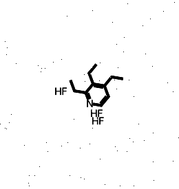 CCc1ccnc(CC)c1CC.F.F.F